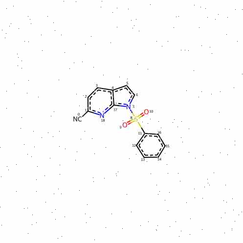 N#Cc1ccc2ccn(S(=O)(=O)c3ccccc3)c2n1